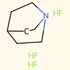 C1CN2CCC1CC2.F.F.F